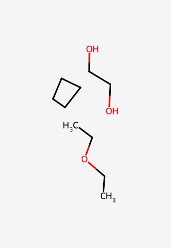 C1CCC1.CCOCC.OCCO